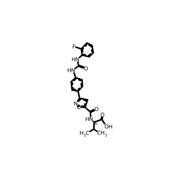 CC(C)[C@@H](NC(=O)c1cc(-c2ccc(NC(=O)Nc3ccccc3F)cc2)no1)C(=O)O